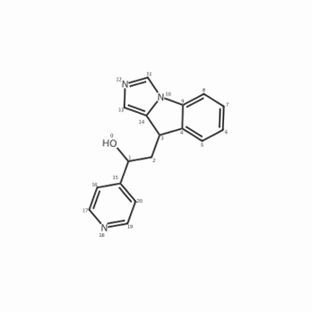 OC(CC1c2ccccc2-n2cncc21)c1ccncc1